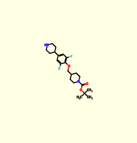 CC(C)(C)OC(=O)N1CCC(COc2c(F)cc(C3CCNCC3)cc2F)CC1